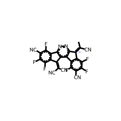 C/C(C#N)=C1\c2nnc3c(c2-c2c(F)c(C#N)c(F)c(F)c21)C(=C(C#N)C#N)c1c(F)c(F)c(C#N)c(F)c1-3